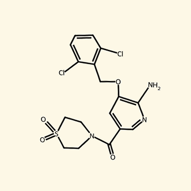 Nc1ncc(C(=O)N2CCS(=O)(=O)CC2)cc1OCc1c(Cl)cccc1Cl